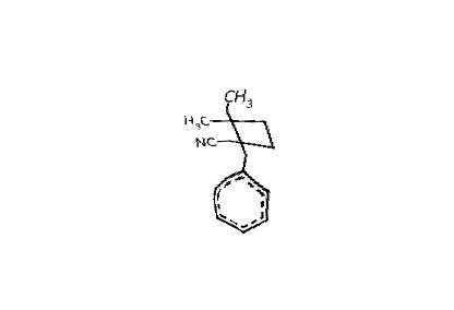 CC1(C)CCC1(C#N)c1ccccc1